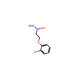 O=CN(O)CCOc1ccccc1Cl